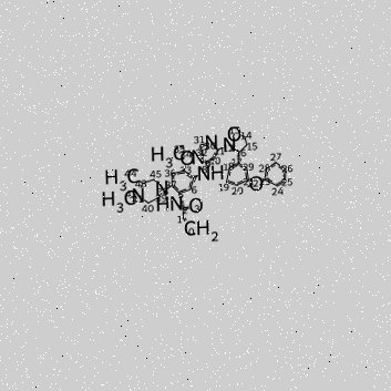 C=CC(=O)Nc1cc(Nc2cc(N3OCCC3c3cccc(Oc4ccccc4)c3)ncn2)c(OC)cc1N1CCN(C)C(C)C1